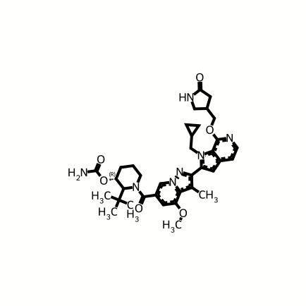 COc1cc(C(=O)N2CCC[C@@H](OC(N)=O)C2C(C)(C)C)cn2nc(-c3cc4ccnc(OCC5CNC(=O)C5)c4n3CC3CC3)c(C)c12